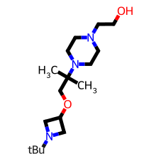 CC(C)(C)N1CC(OCC(C)(C)N2CCN(CCO)CC2)C1